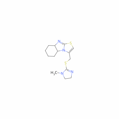 CN1CCN=C1SCC1=CSC2=NC3CCCCC3N12